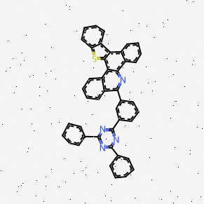 c1ccc(-c2nc(-c3ccccc3)nc(-c3cccc(-c4nc5c6ccccc6c6c7ccccc7sc6c5c5ccccc45)c3)n2)cc1